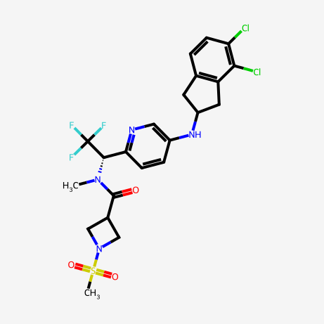 CN(C(=O)C1CN(S(C)(=O)=O)C1)[C@@H](c1ccc(NC2Cc3ccc(Cl)c(Cl)c3C2)cn1)C(F)(F)F